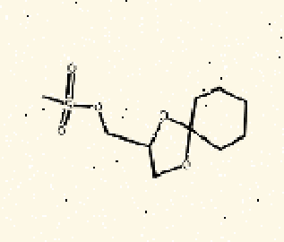 CS(=O)(=O)OCC1COC2(CCCCC2)O1